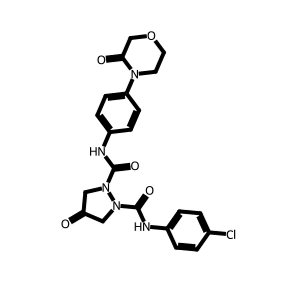 O=C1CN(C(=O)Nc2ccc(Cl)cc2)N(C(=O)Nc2ccc(N3CCOCC3=O)cc2)C1